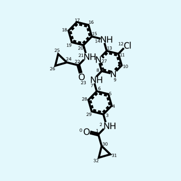 O=C(Nc1ccc(Nc2ncc(Cl)c(Nc3ccccc3NC(=O)C3CC3)n2)cc1)C1CC1